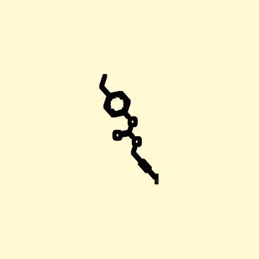 CCc1ccc(OC(=O)OCC#CI)cc1